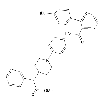 COC(=O)C(c1ccccc1)C1CCN(c2ccc(NC(=O)c3ccccc3-c3ccc(C(C)(C)C)cc3)cc2)CC1